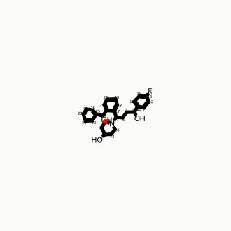 OC1CCN(C(CCC(O)c2ccc(F)cc2)c2ccccc2C(O)c2ccccc2)CC1